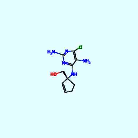 Nc1nc(Cl)c(N)c(N[C@@]2(CO)C=CCC2)n1